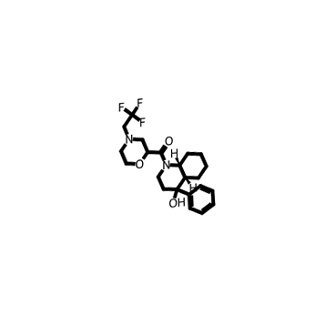 O=C(C1CN(CC(F)(F)F)CCO1)N1CCC(O)(c2ccccc2)[C@H]2CCCC[C@H]21